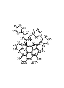 c1ccc(-c2cccc(-c3cc(-c4ccccc4)cc(-n4c5ccccc5c5c6c7ccccc7c7ccccc7c6c6c7ccccc7sc6c54)n3)c2)cc1